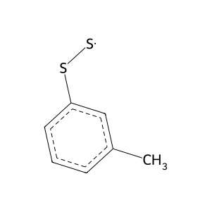 Cc1cccc(S[S])c1